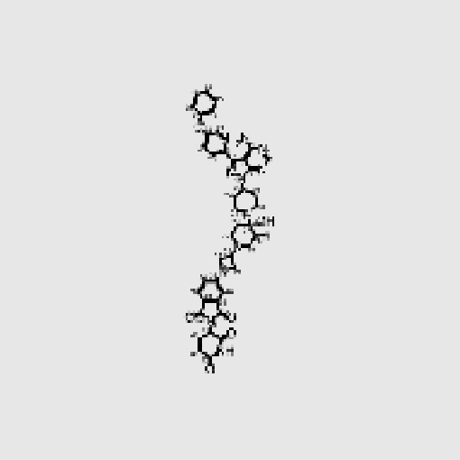 Nc1ncnc2c1c(-c1ccc(Oc3ccccc3)cc1)nn2C1CCN([C@]2(O)CCN(C3CN(c4ccc5c(c4)C(=O)N(C4CCC(=O)NC4=O)C5=O)C3)C[C@@H]2F)CC1